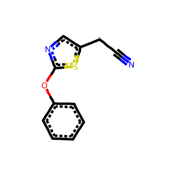 N#C[CH]c1cnc(Oc2ccccc2)s1